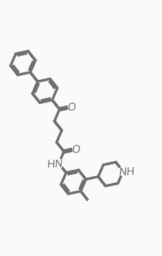 Cc1ccc(NC(=O)CCCC(=O)c2ccc(-c3ccccc3)cc2)cc1C1CCNCC1